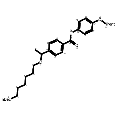 CCCCCCCCCCCCCCCCOC(C)c1ccc(C(=O)Oc2ccc(OC(C)CCC)cc2)cc1